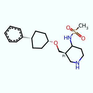 CS(=O)(=O)NC1CCNC[C@H]1CO[C@H]1CC[C@@H](c2ccccc2)CC1